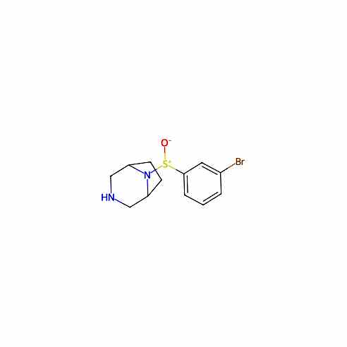 [O-][S+](c1cccc(Br)c1)N1C2CCC1CNC2